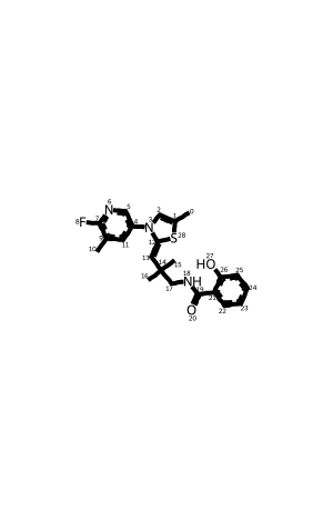 CC1=CN(c2cnc(F)c(C)c2)C(=CC(C)(C)CNC(=O)c2ccccc2O)S1